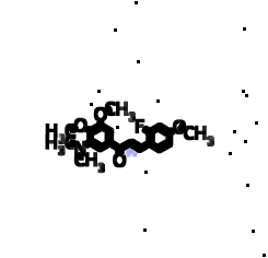 COc1ccc(/C=C/C(=O)c2cc(OC)c(OC)c(N(C)C)c2)c(F)c1